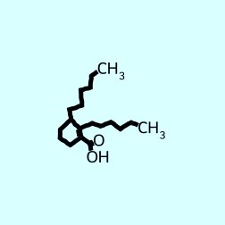 CCCCCCC1=C(C(=O)O)CCCC1CCCCCC